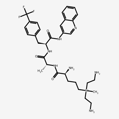 C[C@@H](NC(=O)[C@@H](N)CCC[N+](C)(CCN)CCN)C(=O)N[C@@H](Cc1ccc(C(F)(F)F)cc1)C(=O)Nc1cnc2ccccc2c1